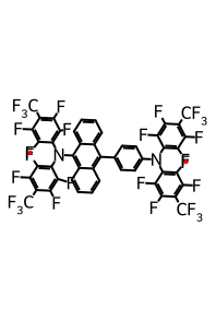 Fc1c(F)c(C(F)(F)F)c(F)c(F)c1N(c1ccc(-c2c3ccccc3c(N(c3c(F)c(F)c(C(F)(F)F)c(F)c3F)c3c(F)c(F)c(C(F)(F)F)c(F)c3F)c3ccccc23)cc1)c1c(F)c(F)c(C(F)(F)F)c(F)c1F